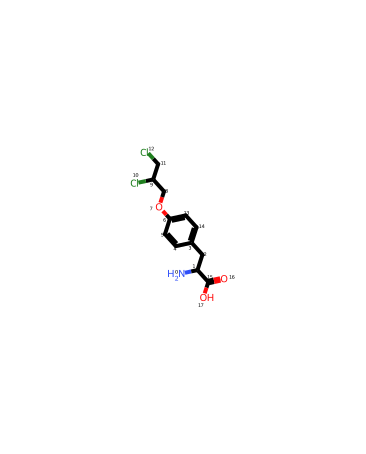 NC(Cc1ccc(OCC(Cl)CCl)cc1)C(=O)O